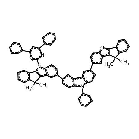 CC1(C)c2ccccc2-c2oc3ccc(-c4ccc5c(c4)c4cc(-c6ccc7c(c6)c6c(n7-c7nc(-c8ccccc8)cc(-c8ccccc8)n7)-c7ccccc7C6(C)C)ccc4n5-c4ccccc4)cc3c21